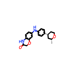 C[C@@H]1C[C@H](c2ccc(Nc3ccc4c(c3)OCC(=O)N4)cc2)CCO1